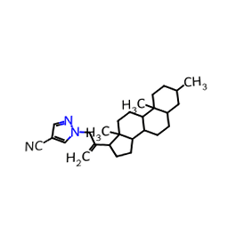 C=C(Cn1cc(C#N)cn1)C1CCC2C3CCC4CC(C)CCC4(C)C3CCC12C